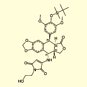 COc1cc([C@@H]2c3cc4c(cc3[C@@H](NC3=CC(=O)N(CCO)C3=O)[C@H]3COC(=O)[C@H]23)OCO4)cc(OC)c1O[Si](C)(C)C(C)(C)C